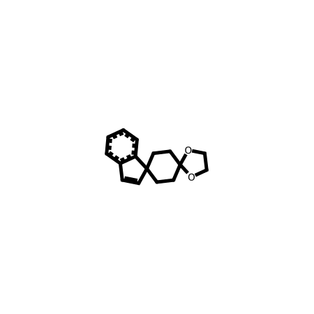 C1=CC2(CCC3(CC2)OCCO3)c2ccccc21